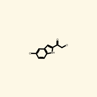 O=C(CCl)c1cc2cc(Cl)ccc2[nH]1